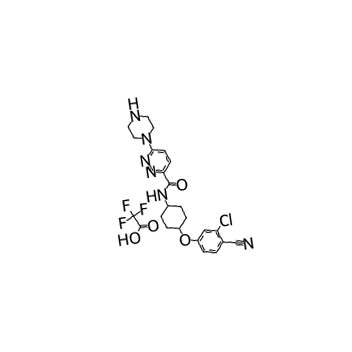 N#Cc1ccc(OC2CCC(NC(=O)c3ccc(N4CCNCC4)nn3)CC2)cc1Cl.O=C(O)C(F)(F)F